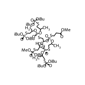 COC(=O)CCSP(=O)(OC(C)CSP(=O)(OC(C)CSP(=O)(OC)OCC(C)C)OC(C)CSP(=O)(OCC(C)C)OCC(C)C)OC(C)CSP(=O)(OC(C)CSP(=O)(OCC(C)C)OCC(C)C)OC(C)CSP(=O)(OCC(C)C)OCC(C)C